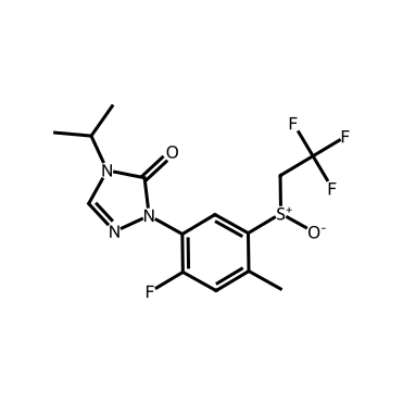 Cc1cc(F)c(-n2ncn(C(C)C)c2=O)cc1[S+]([O-])CC(F)(F)F